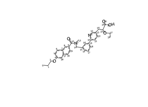 CCCOc1ccc2cc(C(=O)N(C)Cc3cccc(-c4ccc(CC(OCC)C(=O)O)cn4)c3)ccc2c1